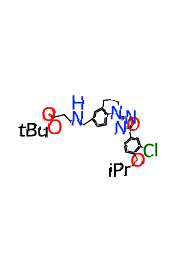 CC(C)Oc1ccc(-c2nc(N3CCCc4cc(CNCCC(=O)OC(C)(C)C)ccc43)no2)cc1Cl